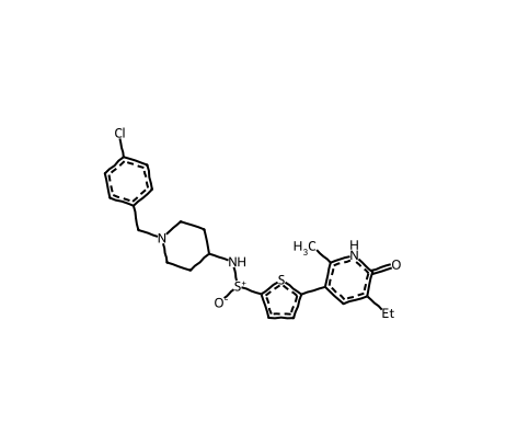 CCc1cc(-c2ccc([S+]([O-])NC3CCN(Cc4ccc(Cl)cc4)CC3)s2)c(C)[nH]c1=O